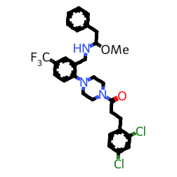 COC(Cc1ccccc1)NCc1cc(C(F)(F)F)ccc1N1CCN(C(=O)CCc2ccc(Cl)cc2Cl)CC1